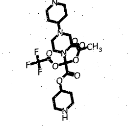 CC(=O)OC(OC(=O)C(F)(F)F)(C(=O)OC1CCNCC1)N1CCN(C2CCNCC2)CC1=O